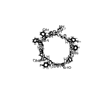 CCCC[C@H]1C(=O)N2CCC[C@@H]2C(=O)N[C@@H](COC=O)C(=O)N[C@@H](C(C)C)C(=O)N(C)[C@@H](Cc2ccc(F)cc2)C(=O)N[C@@H](COC=O)C(=O)N2CCC[C@@H]2C(=O)N[C@@H](Cc2c[nH]c3ccccc23)C(=O)N[C@@H](Cc2ccc(O)cc2)C(=O)N[C@@H](CC(C)C)C(=O)N[C@H](C(=O)NCC(N)=O)CSCC(=O)N[C@@H](Cc2ccc(F)cc2)C(=O)N(C)[C@@H](Cc2ccccc2)C(=O)N1C